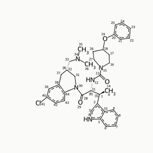 C[C@@H](c1c[nH]c2ccccc12)[C@@H](NC(=O)N1CCC(Oc2ccccc2)CC1)C(=O)N1C[C@@H](CN(C)C)Cc2cc(Cl)ccc21